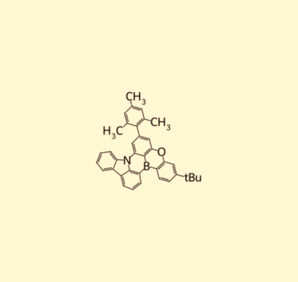 Cc1cc(C)c(-c2cc3c4c(c2)-n2c5ccccc5c5cccc(c52)B4c2ccc(C(C)(C)C)cc2O3)c(C)c1